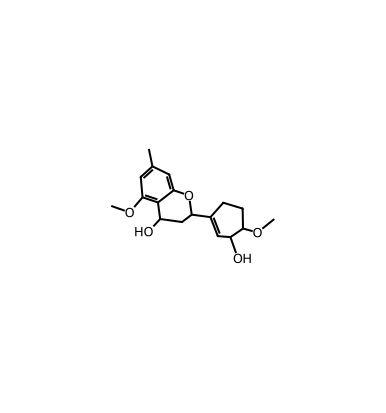 COc1cc(C)cc2c1C(O)CC(C1=CC(O)C(OC)CC1)O2